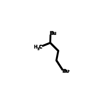 CC[C](C)CCC(C)C(C)CC